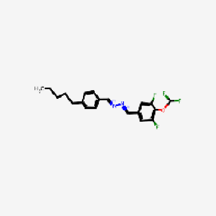 CCCCCc1ccc(/C=N/N=C/c2cc(F)c(OC(F)F)c(F)c2)cc1